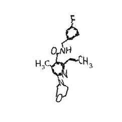 C/C=C/c1nc(N2CCOCC2)cc(C)c1C(=O)NCc1cccc(F)c1